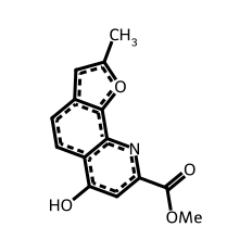 COC(=O)c1cc(O)c2ccc3cc(C)oc3c2n1